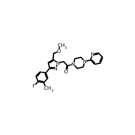 COCc1cc(-c2ccc(F)c(C)c2)nn1CC(=O)N1CCN(c2ccccn2)CC1